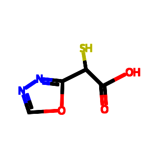 O=C(O)C(S)c1nnco1